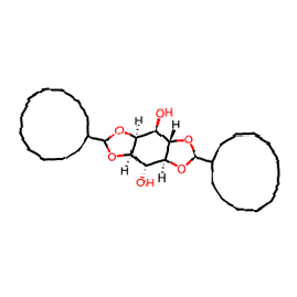 O[C@@H]1[C@H]2OC(C3CCCCCCCCCCC3)O[C@H]2[C@@H](O)[C@@H]2OC(C3CCCCCCCCCCC3)O[C@@H]12